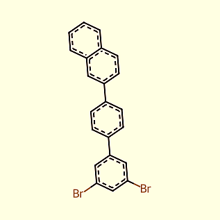 Brc1cc(Br)cc(-c2ccc(-c3ccc4ccccc4c3)cc2)c1